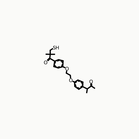 CC(=O)C(C)c1ccc(OCCOc2ccc(C(=O)C(C)(C)CS)cc2)cc1